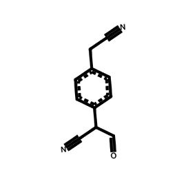 N#CCc1ccc(C(C#N)C=O)cc1